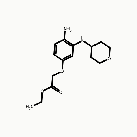 CCOC(=O)COc1ccc(N)c(NC2CCOCC2)c1